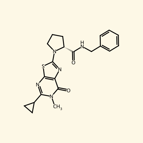 Cn1c(C2CC2)nc2sc(N3CCC[C@@H]3C(=O)NCc3ccccc3)nc2c1=O